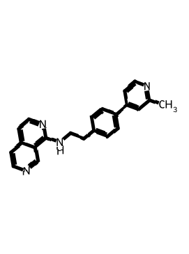 Cc1cc(-c2ccc(CCNc3nccc4ccncc34)cc2)ccn1